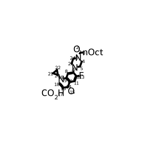 CCCCCCCCC(=O)N1CCN(c2cc3c(cc2F)c(=O)c(C(=O)O)cn3C2CC2)CC1